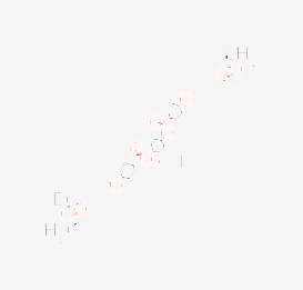 C=CC(=O)OC(CC)CCCCCOc1ccc(C(=O)Oc2ccc(OC(=O)c3ccc(OCCCCCC(CC)OC(=O)C=C)cc3)c(C)c2)cc1